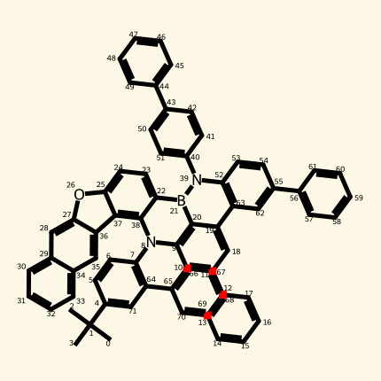 CC(C)(C)c1ccc(N2c3cc(-c4ccccc4)cc4c3B(c3ccc5oc6cc7ccccc7cc6c5c32)N(c2ccc(-c3ccccc3)cc2)c2ccc(-c3ccccc3)cc2-4)c(-c2ccccc2)c1